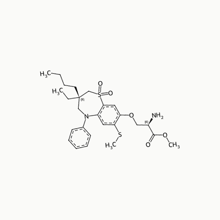 CCCC[C@]1(CC)CN(c2ccccc2)c2cc(SC)c(OC[C@@H](N)C(=O)OC)cc2S(=O)(=O)C1